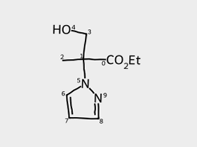 CCOC(=O)C(C)(CO)n1cccn1